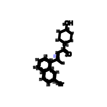 C/C(=C\C(=O)N1CCC(O)CC1)c1ccnc2ccc(Br)cc12